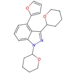 c1coc(-c2cccc3c2c(C2CCCCO2)nn3C2CCCCO2)c1